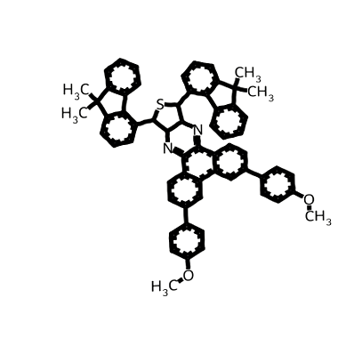 COc1ccc(-c2ccc3c4c(c5ccc(-c6ccc(OC)cc6)cc5c3c2)=NC2C(c3cccc5c3-c3ccccc3C5(C)C)SC(c3cccc5c3-c3ccccc3C5(C)C)C2N=4)cc1